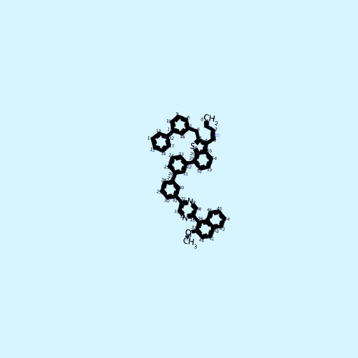 C=C/C=C\c1c(Cc2cccc(-c3ccccc3)c2)sc2c(-c3cccc(-c4cccc(-c5cnc(-c6c(OC)ccc7ccccc67)cn5)c4)c3)cccc12